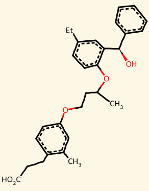 CCc1ccc(OC(C)CCOc2ccc(CCC(=O)O)c(C)c2)c([C@H](O)c2ccccc2)c1